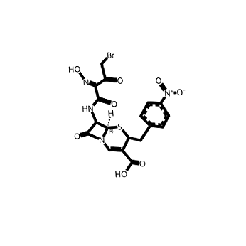 O=C(O)C1=CN2C(=O)C(NC(=O)C(=NO)C(=O)CBr)[C@H]2SC1Cc1ccc([N+](=O)[O-])cc1